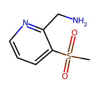 CS(=O)(=O)c1cccnc1CN